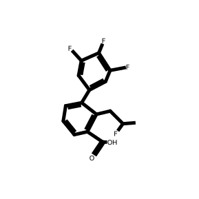 CC(F)Cc1c(C(=O)O)cccc1-c1cc(F)c(F)c(F)c1